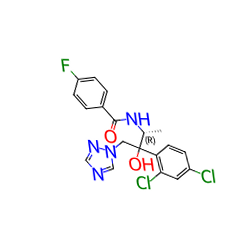 C[C@@H](NC(=O)c1ccc(F)cc1)C(O)(Cn1cncn1)c1ccc(Cl)cc1Cl